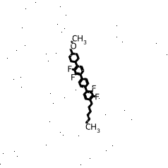 CCCCCCCc1ccc(-c2ccc(-c3ccc(C4CCC(COCC)CC4)c(F)c3F)cc2)c(F)c1F